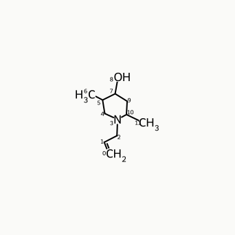 C=CCN1CC(C)C(O)CC1C